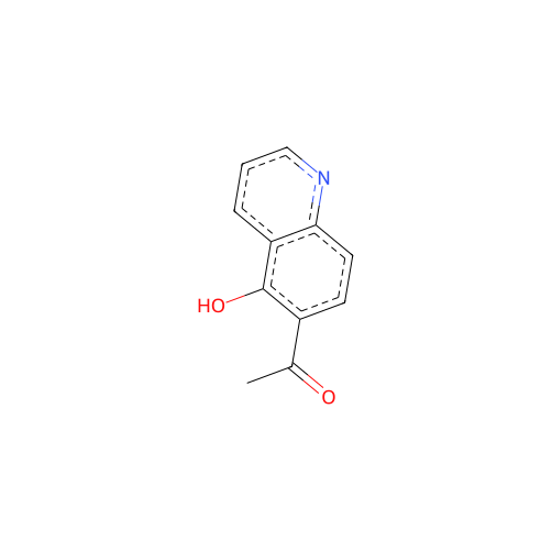 CC(=O)c1ccc2ncccc2c1O